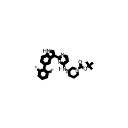 CC(C)(C)OC(=O)N1CCC[C@@H](Nc2ccnc(-c3c[nH]c4ccc(-c5c(F)cccc5F)cc34)n2)C1